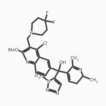 COc1nc2ccc(C(O)(C3=CCC(C)N=C3C)c3cnnn3C)cc2c(Cl)c1CN1CCC(F)(F)CC1